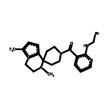 CC(C)CNc1ncccc1C(=O)N1CCC2(CC1)c1ccc(C(F)(F)F)n1CCN2C